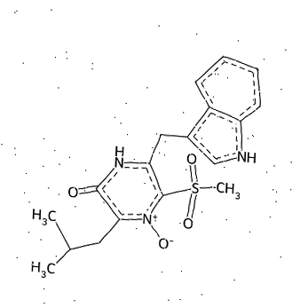 CC(C)Cc1c(=O)[nH]c(Cc2c[nH]c3ccccc23)c(S(C)(=O)=O)[n+]1[O-]